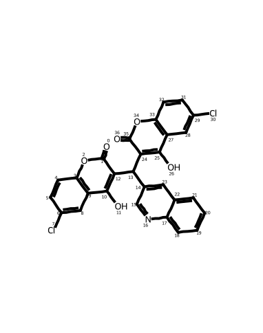 O=c1oc2ccc(Cl)cc2c(O)c1C(c1cnc2ccccc2c1)c1c(O)c2cc(Cl)ccc2oc1=O